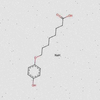 O=C(O)CCCCCCCOc1ccc(O)cc1.[NaH]